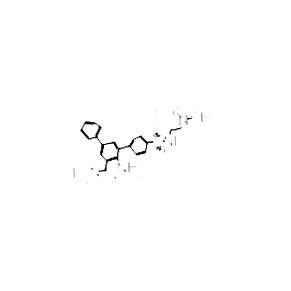 CN(C)CCNS(=O)(=O)c1ccc(-c2cc(-c3ccccc3)cc(C(N)=O)c2N)cc1